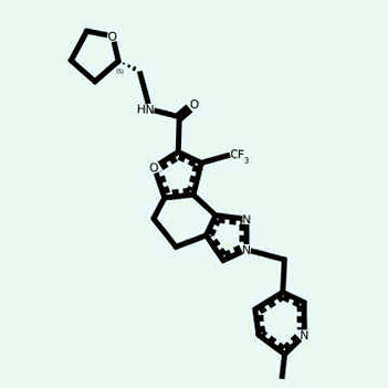 Cc1ccc(Cn2cc3c(n2)-c2c(oc(C(=O)NC[C@@H]4CCCO4)c2C(F)(F)F)CC3)cn1